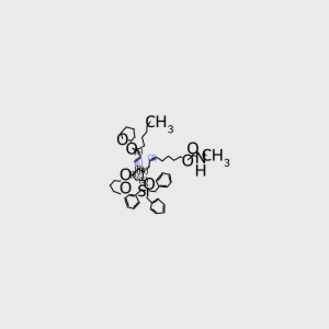 CCCCC[C@@H](/C=C/[C@@H]1[C@@H](C/C=C\CCCCOC(=O)NC)[C@@H](O[Si](Cc2ccccc2)(Cc2ccccc2)Cc2ccccc2)C[C@H]1OC1CCCCO1)OC1CCCCO1